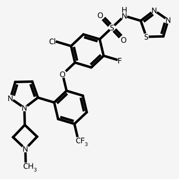 CN1CC(n2nccc2-c2cc(C(F)(F)F)ccc2Oc2cc(F)c(S(=O)(=O)Nc3nncs3)cc2Cl)C1